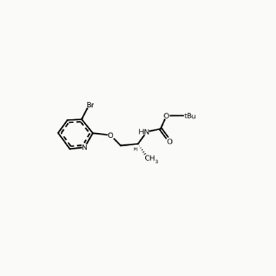 C[C@H](COc1ncccc1Br)NC(=O)OC(C)(C)C